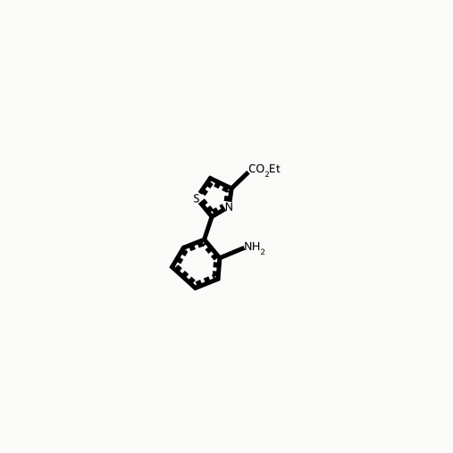 CCOC(=O)c1csc(-c2ccccc2N)n1